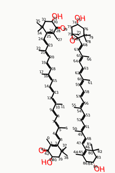 CC1=C(/C=C/C(C)=C/C=C/C(C)=C/C=C/C=C(C)/C=C/C=C(C)/C=C/C2=C(C)C(=O)C(O)CC2(C)C)C(C)(C)CC(O)C1=O.CC1=C(/C=C/C(C)=C/C=C/C(C)=C/C=C/C=C(C)/C=C/C=C(C)/C=C/[C@@]23O[C@]2(C)C[C@@H](O)CC3(C)C)C(C)(C)C[C@H](O)C1